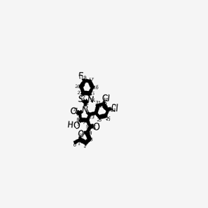 Cc1ccc(C(=O)C2=C(O)C(=O)N(c3nc4ccc(F)cc4s3)C2c2ccc(Cl)c(Cl)c2)o1